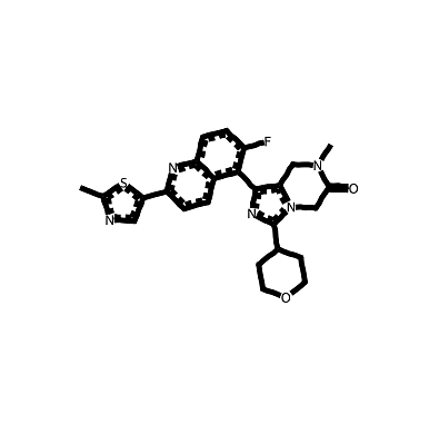 Cc1ncc(-c2ccc3c(-c4nc(C5CCOCC5)n5c4CN(C)C(=O)C5)c(F)ccc3n2)s1